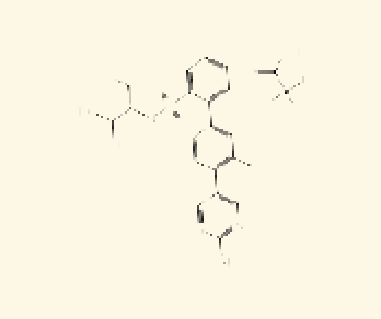 CC(C)[C@@H](CO)NS(=O)(=O)c1ccccc1-c1ccc(-c2cnc(N)nc2)c(F)c1.O=C(O)C(F)(F)F